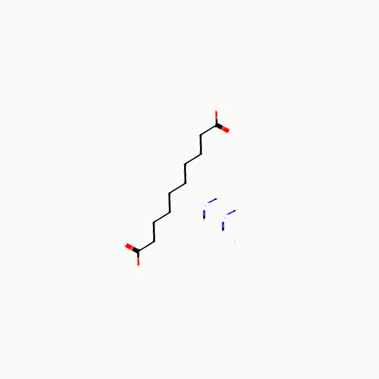 CNC.CNC.O=C(O)CCCCCCCCC(=O)O